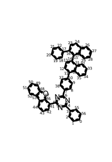 c1ccc(-c2nc(-c3ccc(-c4ccc(-c5c(-c6ccccc6)ccc6ccccc56)c5ccccc45)cc3)nc(-c3cccc4c3oc3ccccc34)n2)cc1